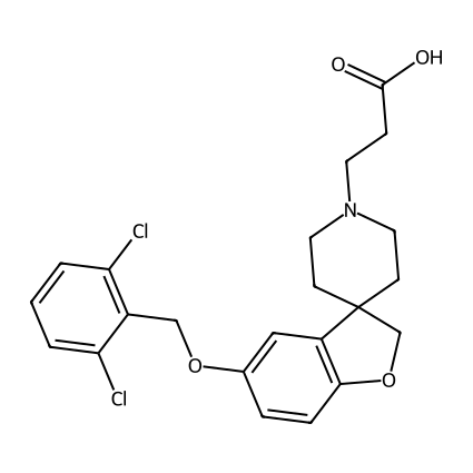 O=C(O)CCN1CCC2(CC1)COc1ccc(OCc3c(Cl)cccc3Cl)cc12